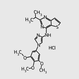 COc1cc(-n2cnc(Nc3nc(C(C)C)nc4ccsc34)c2)cc(OC)c1OC.Cl